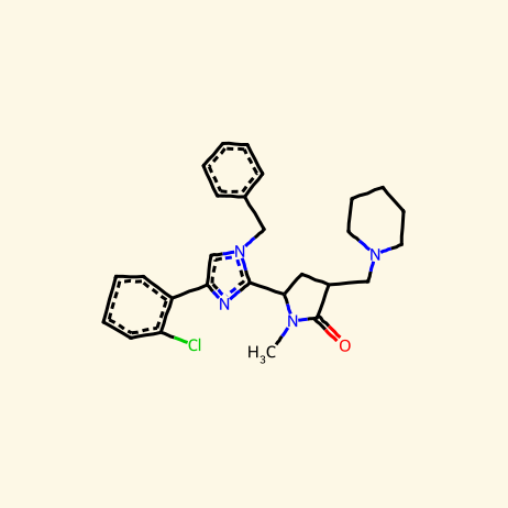 CN1C(=O)C(CN2CCCCC2)CC1c1nc(-c2ccccc2Cl)cn1Cc1ccccc1